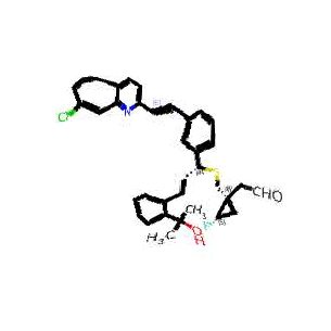 CC(C)(O)c1ccccc1CC[C@@H](SC[C@]1(CC=O)C[C@@H]1F)c1cccc(/C=C/c2ccc3ccc(Cl)cc3n2)c1